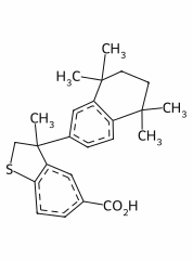 CC1(C)CCC(C)(C)c2cc(C3(C)CSc4ccc(C(=O)O)cc43)ccc21